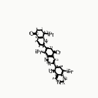 CC(C)C1CCC(=O)c2ccc(C3CC(=O)c4cc(C5CC(C(C)C)c6ncncc6C5=O)nnc4C3C(C)C)nc21